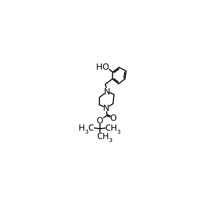 CC(C)(C)OC(=O)N1CCN(Cc2ccccc2O)CC1